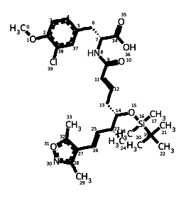 COc1ccc(C[C@@H](NC(=O)/C=C/C[C@H](O[Si](C)(C)C(C)(C)C)[C@H](C)/C=C/c2c(C)noc2C)C(=O)O)cc1Cl